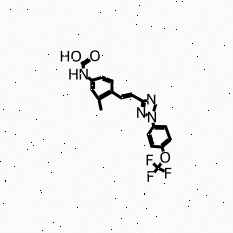 Cc1cc(NC(=O)O)ccc1C=Cc1ncn(-c2ccc(OC(F)(F)F)cc2)n1